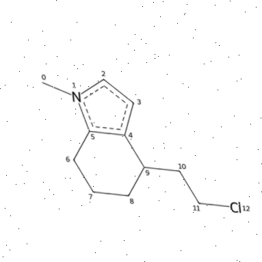 Cn1ccc2c1CCCC2CCCl